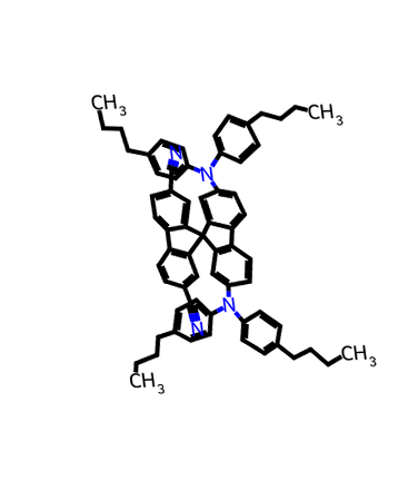 CCCCc1ccc(N(c2ccc(CCCC)cc2)c2ccc3c(c2)C2(c4cc(C#N)ccc4-c4ccc(C#N)cc42)c2cc(N(c4ccc(CCCC)cc4)c4ccc(CCCC)cc4)ccc2-3)cc1